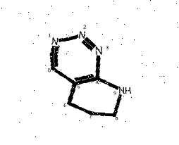 c1nnnc2c1CCCN2